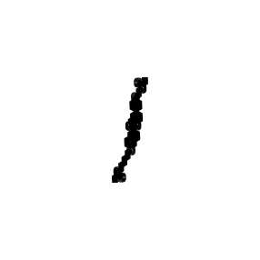 C=CC(=O)OCCCCCCOc1ccc2cc(C(=O)Oc3ccc(-c4ccc(OCCOC(=O)C=C)cc4)cc3C)ccc2c1